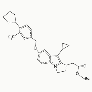 CC(C)(C)OC(=O)CC1CCn2c1c(C1CC1)c1cc(OCc3ccc(C4CCCC4)c(C(F)(F)F)c3)ccc12